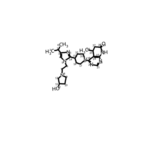 CC(C)c1cn(CCN2CCC(O)C2)c(C2CCN(c3ncnc4c3C(C)CC(=O)N4)CC2)n1